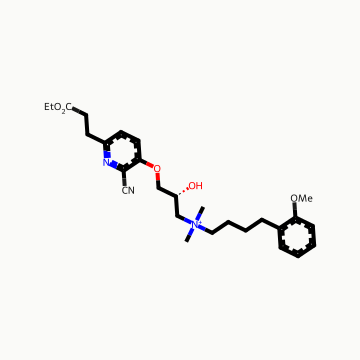 CCOC(=O)CCc1ccc(OC[C@H](O)C[N+](C)(C)CCCCc2ccccc2OC)c(C#N)n1